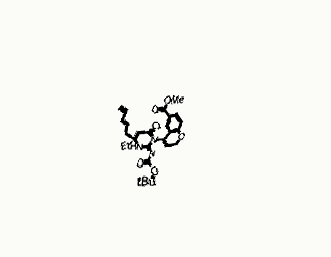 C=CCCC[C@@]1(CC)CC(=O)N([C@@H]2CCOc3ccc(C(=O)OC)cc32)/C(=N/C(=O)OC(C)(C)C)N1